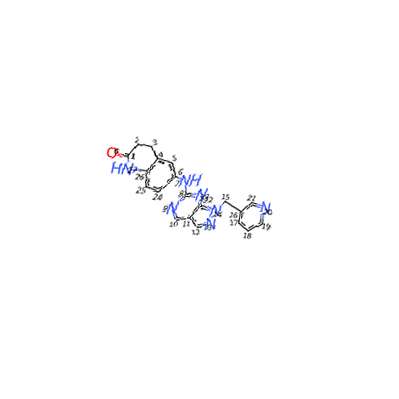 O=C1CCc2cc(Nc3ncc4cnn(Cc5cccnc5)c4n3)ccc2N1